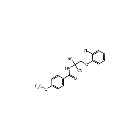 N#CC(C#N)(COc1ccccc1Cl)NC(=O)c1ccc(OC(F)(F)F)cc1